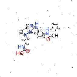 C1CCCC1.CC(=O)Nc1cccc(Nc2ncc3ccn(CCCNC(=O)O)c3n2)c1